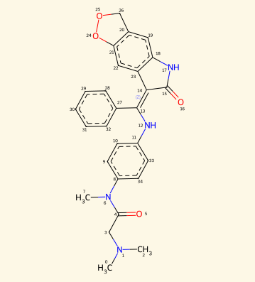 CN(C)CC(=O)N(C)c1ccc(N/C(=C2\C(=O)Nc3cc4c(cc32)OOC4)c2ccccc2)cc1